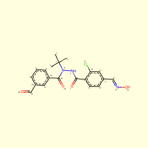 CC(C)(C)N(NC(=O)c1ccc(C=NO)cc1Cl)C(=O)c1cccc(C=O)c1